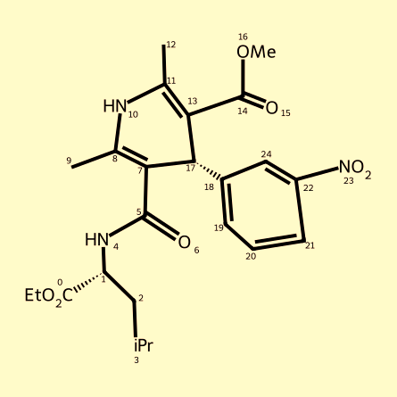 CCOC(=O)[C@@H](CC(C)C)NC(=O)C1=C(C)NC(C)=C(C(=O)OC)[C@@H]1c1cccc([N+](=O)[O-])c1